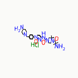 CC(C)(N)C(=O)N1CCN(C(=O)Nc2ccn(-c3ccc(CN4CCC(N)CC4)cc3)c(=O)n2)CC1(C)C.Cl